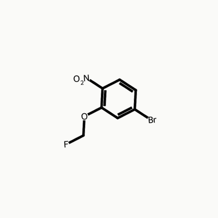 O=[N+]([O-])c1ccc(Br)cc1OCF